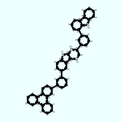 c1cc(-c2ccc3c4ccccc4c4ccccc4c3c2)cc(-c2ccc3sc4nc(-c5cccc(-c6cccc7c6sc6ccccc67)c5)cnc4c3c2)c1